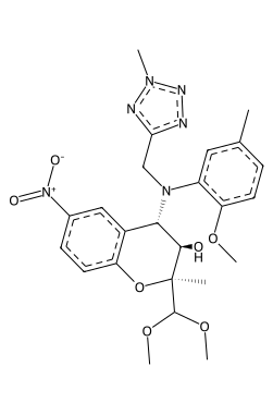 COc1ccc(C)cc1N(Cc1nnn(C)n1)[C@H]1c2cc([N+](=O)[O-])ccc2O[C@](C)(C(OC)OC)[C@@H]1O